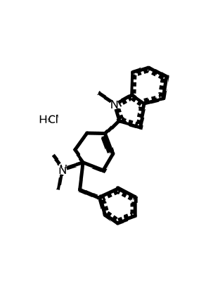 CN(C)C1(Cc2ccccc2)CC=C(c2cc3ccccc3n2C)CC1.Cl